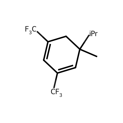 CC(C)C1(C)C=C(C(F)(F)F)C=C(C(F)(F)F)C1